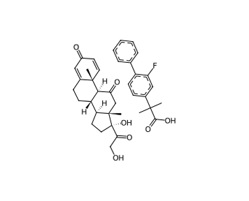 CC(C)(C(=O)O)c1ccc(-c2ccccc2)c(F)c1.C[C@]12C=CC(=O)C=C1CC[C@@H]1[C@@H]2C(=O)C[C@@]2(C)[C@H]1CC[C@]2(O)C(=O)CO